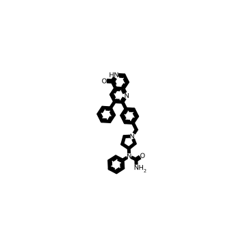 NC(=O)N(c1ccccc1)C1CCN(Cc2ccc(-c3nc4cc[nH]c(=O)c4cc3-c3ccccc3)cc2)C1